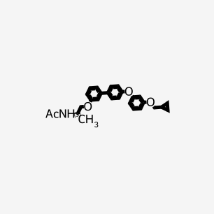 CC(=O)N[C@@H](C)COc1cccc(-c2ccc(Oc3cccc(OCC4CC4)c3)cc2)c1